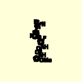 CCn1cc(-c2cc3nccc(Oc4ccc(NC(=O)CC(=O)Nc5ccccc5OC)cc4F)c3s2)nc1CN(C)C